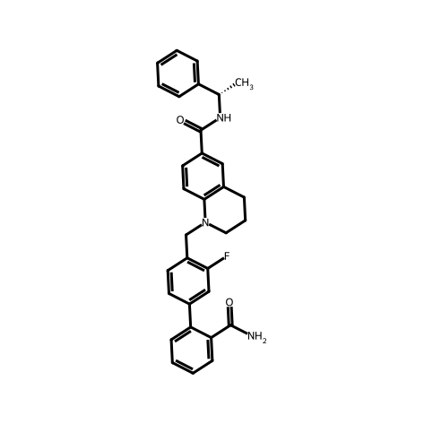 C[C@H](NC(=O)c1ccc2c(c1)CCCN2Cc1ccc(-c2ccccc2C(N)=O)cc1F)c1ccccc1